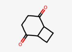 O=C1CCC(=O)C2CCC12